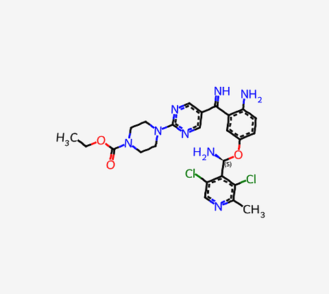 CCOC(=O)N1CCN(c2ncc(C(=N)c3cc(O[C@H](N)c4c(Cl)cnc(C)c4Cl)ccc3N)cn2)CC1